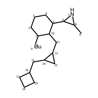 CCC(C)C1CCCC(C2NC2C)C1CC1CC1CC1CCC1